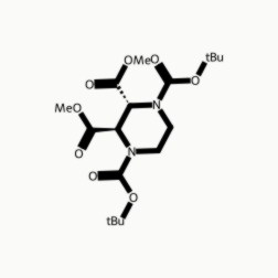 COC(=O)[C@H]1[C@H](C(=O)OC)N(C(=O)OC(C)(C)C)CCN1C(=O)OC(C)(C)C